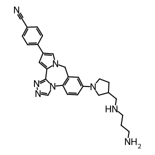 N#Cc1ccc(-c2cc3n(c2)Cc2cc(N4CCC(CNCCCN)C4)ccc2-n2cnnc2-3)cc1